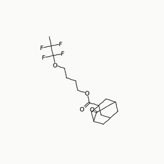 CC(F)(F)C(F)(F)OCCCCOC(=O)C12CC3CC(C1)C(=O)C(C3)C2